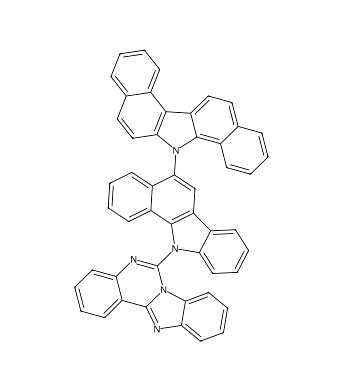 c1ccc2c(c1)ccc1c2c2ccc3ccccc3c2n1-c1cc2c3ccccc3n(-c3nc4ccccc4c4nc5ccccc5n34)c2c2ccccc12